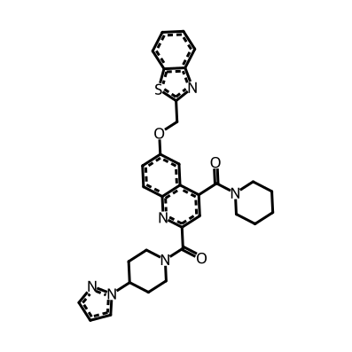 O=C(c1cc(C(=O)N2CCCCC2)c2cc(OCc3nc4ccccc4s3)ccc2n1)N1CCC(n2cccn2)CC1